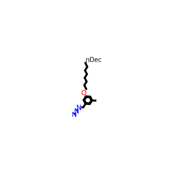 CCCCCCCCCCCCCCCCCCOc1cc(C)cc(CN=[N+]=[N-])c1